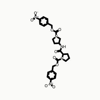 O=C(NC1CCN(C(=O)OCc2ccc([N+](=O)[O-])cc2)C1)C1CCCN1C(=O)OCc1ccc([N+](=O)[O-])cc1